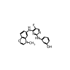 CN1C=COc2ccc(Nc3nc(Nc4cccc(O)c4)ncc3F)cc21